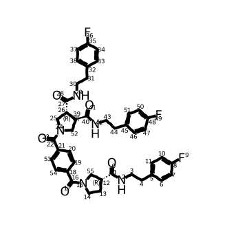 O=C(NCCc1ccc(F)cc1)[C@@H]1CCN(C(=O)c2ccc(C(=O)N3C[C@H](C(=O)NCCc4ccc(F)cc4)[C@@H](C(=O)NCCc4ccc(F)cc4)C3)cc2)C1